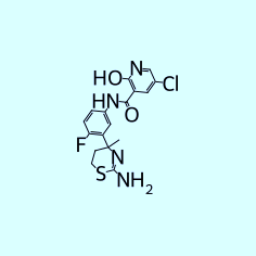 CC1(c2cc(NC(=O)c3cc(Cl)cnc3O)ccc2F)CCSC(N)=N1